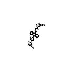 N#Cc1ccnc(-c2ccc(-c3c4ccccc4c(C4=NCC(c5cc(C#N)ccn5)C=C4)c4ccccc34)nc2)c1